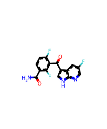 NC(=O)c1ccc(F)c(C(=O)c2c[nH]c3ncc(F)cc23)c1F